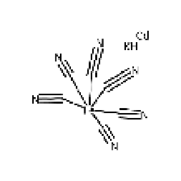 N#[C][Fe]([C]#N)([C]#N)([C]#N)([C]#N)[C]#N.[Cd].[KH]